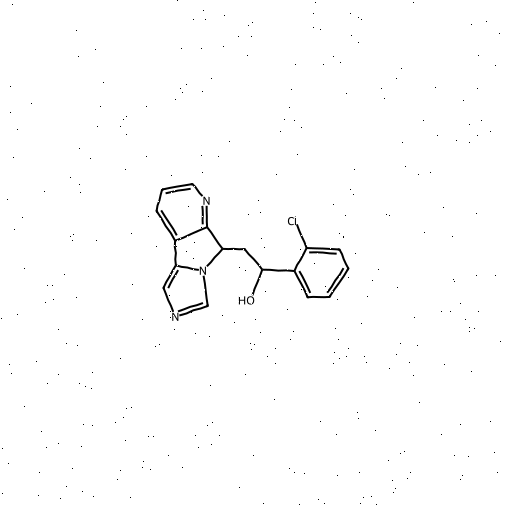 OC(CC1c2ncccc2-c2cncn21)c1ccccc1Cl